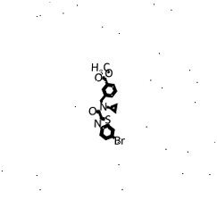 COC(=O)c1cccc(CN(C(=O)c2nc3ccc(Br)cc3s2)C2CC2)c1